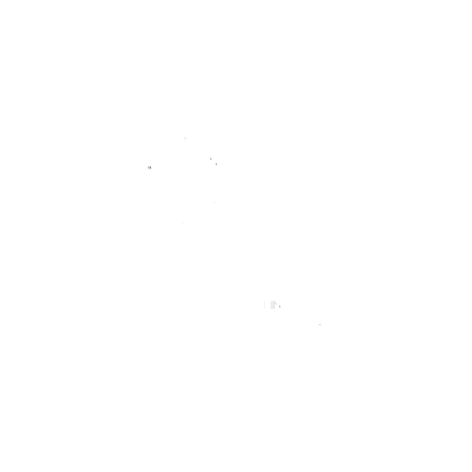 CC(C)(C)NCCCc1ccc#cn1